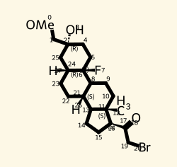 COC[C@@]1(O)CC[C@]2(F)C3CC[C@@]4(C)C(CC[C@@H]4C(=O)CBr)[C@@H]3CC[C@@H]2C1